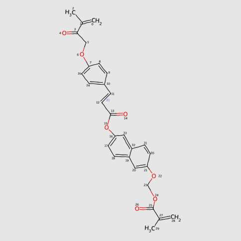 C=C(C)C(=O)COc1ccc(/C=C/C(=O)Oc2ccc3cc(OCOC(=O)C(=C)C)ccc3c2)cc1